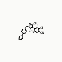 Cc1nn(Cc2ccc(-n3ccnc3)cc2)c(C)c1-c1ccc(C#N)c(Cl)c1